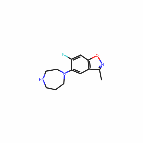 Cc1noc2cc(F)c(N3CCCNCC3)cc12